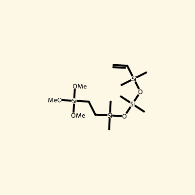 C=C[Si](C)(C)O[Si](C)(C)O[Si](C)(C)CC[Si](OC)(OC)OC